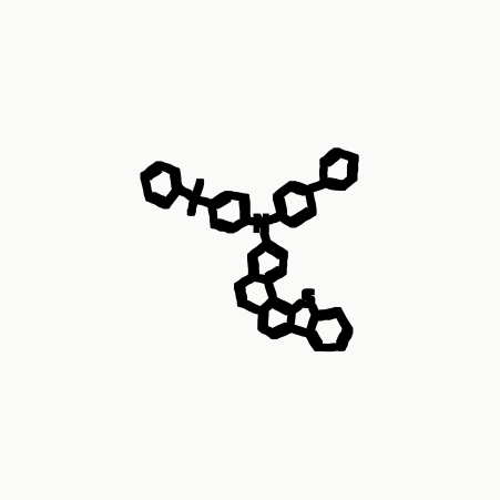 CC(C)(c1ccccc1)c1ccc(N(c2ccc(-c3ccccc3)cc2)c2ccc3c(ccc4ccc5c6ccccc6sc5c43)c2)cc1